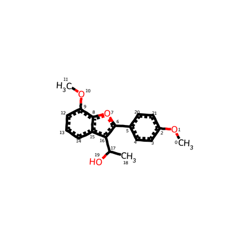 COc1ccc(-c2oc3c(OC)cccc3c2C(C)O)cc1